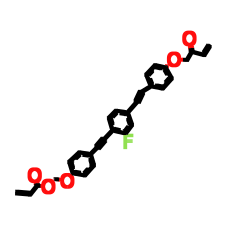 C=CC(=O)COc1ccc(C#Cc2ccc(C#Cc3ccc(OCOC(=O)C=C)cc3)c(F)c2)cc1